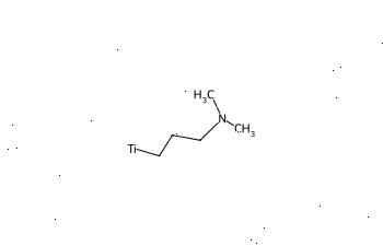 CN(C)CC[CH2][Ti]